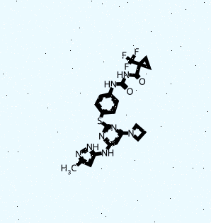 Cc1cc(Nc2cc(N3CCC3)nc(Sc3ccc(NC(=O)NC(=O)C4(C(F)(F)F)CC4)cc3)n2)[nH]n1